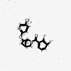 O=C(c1cccc(F)c1I)N1CC2CC(Oc3ccc(C(F)(F)F)cn3)C1C2